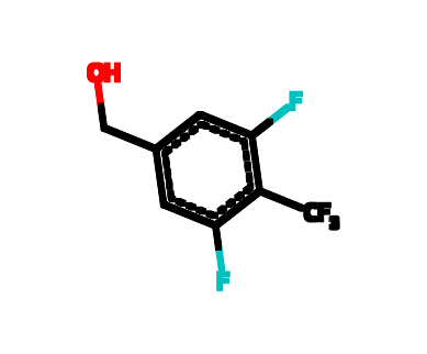 OCc1cc(F)c(C(F)(F)F)c(F)c1